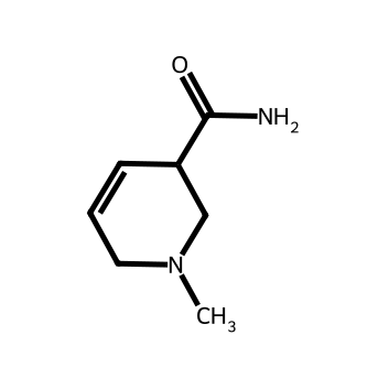 CN1CC=CC(C(N)=O)C1